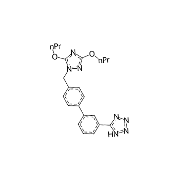 CCCOc1nc(OCCC)n(Cc2ccc(-c3cccc(-c4nnn[nH]4)c3)cc2)n1